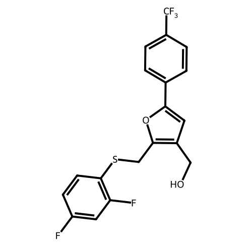 OCc1cc(-c2ccc(C(F)(F)F)cc2)oc1CSc1ccc(F)cc1F